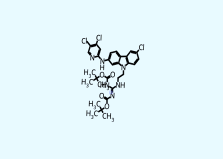 CC(C)(C)OC(=O)/N=C(/NCCn1c2ccc(Cl)cc2c2ccc(Nc3cc(Cl)c(Cl)cn3)cc21)NC(=O)OC(C)(C)C